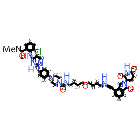 CNC(=O)c1ccccc1Nc1nc(Nc2ccc(N3CCN(C(=O)NCCCCOCCCCNC#Cc4cccc5c4CN(C4CCC(=O)NC4=O)C5=O)CC3)cc2)ncc1Cl